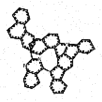 c1ccc2c(c1)ccc1cc(-c3nc(-n4c5ccccc5c5cc6c7ccccc7n7c8ccc9ccccc9c8c(c54)c67)c4ccccc4n3)ccc12